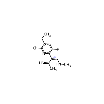 CCc1cc(F)c(/C(=C/NC)C(C)=N)nc1Cl